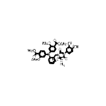 COC(=O)c1ccc(N(c2ccc(C(=O)OC)c(OC)c2)c2ccccc2CN2C(=O)N(c3ccc(C#N)c(C(F)(F)F)c3)C(=O)C2(C)C)cc1OC